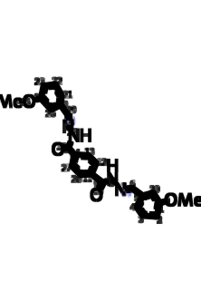 COc1cccc(/C=N/NC(=O)c2ccc(C(=O)N/N=C/c3cccc(OC)c3)cc2)c1